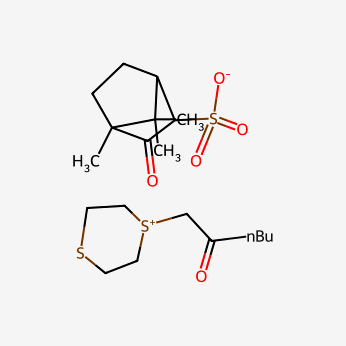 CC12CCC(C(S(=O)(=O)[O-])C1=O)C2(C)C.CCCCC(=O)C[S+]1CCSCC1